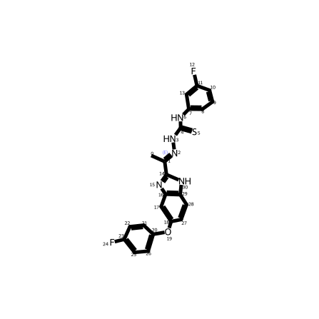 C/C(=N\NC(=S)Nc1cccc(F)c1)c1nc2cc(Oc3ccc(F)cc3)ccc2[nH]1